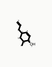 C=CCC1C=CC(O)C(C)C1